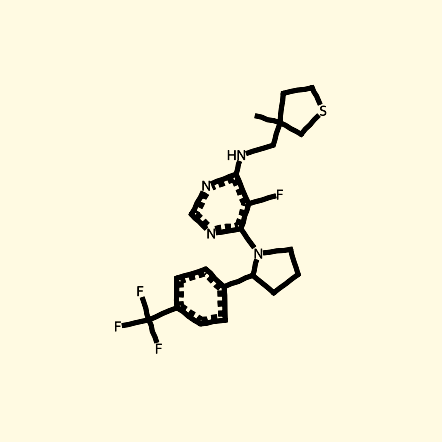 CC1(CNc2ncnc(N3CCCC3c3ccc(C(F)(F)F)cc3)c2F)CCSC1